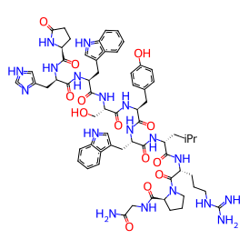 CC(C)C[C@@H](NC(=O)[C@H](Cc1c[nH]c2ccccc12)NC(=O)[C@H](Cc1ccc(O)cc1)NC(=O)[C@H](CO)NC(=O)[C@H](Cc1c[nH]c2ccccc12)NC(=O)[C@@H](Cc1c[nH]cn1)NC(=O)[C@@H]1CCC(=O)N1)C(=O)N[C@H](CCCNC(=N)N)C(=O)N1CCC[C@H]1C(=O)NCC(N)=O